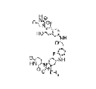 Cn1c(=O)n(C2CCC(=O)NC2=O)c2ccc(Nc3ccc(CC(=O)Nc4ccc5c(F)c(N6CC(=O)NS6(=O)=O)c(O)cc5c4)cc3F)cc21